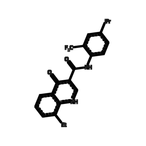 CCc1cccc2c(=O)c(C(=O)Nc3ccc(C(C)C)cc3C(F)(F)F)c[nH]c12